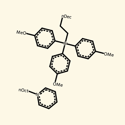 CCCCCCCCCCCC[B-](c1ccc(OC)cc1)(c1ccc(OC)cc1)c1ccc(OC)cc1.CCCCCCCC[n+]1ccccc1